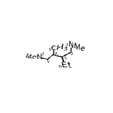 CCC(CNC)C(C)CNC